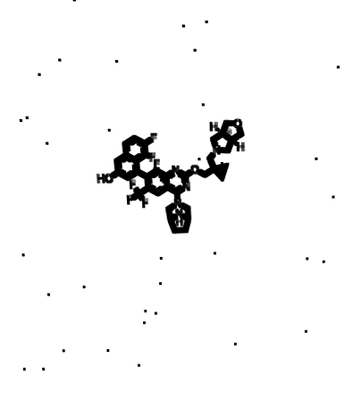 Oc1cc(-c2c(C(F)(F)F)cc3c(N4CC5CCC(C4)N5)nc(OCC4(CN5C[C@H]6COC[C@@H]6C5)CC4)nc3c2F)c2c(F)c(F)ccc2c1